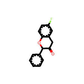 O=C1Cc2cc(F)ccc2OC1c1ccccc1